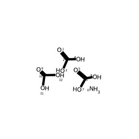 N.O=C(O)O.O=C(O)O.O=C(O)O